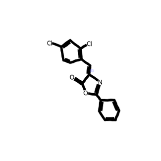 O=C1OC(c2ccccc2)=N/C1=C/c1ccc(Cl)cc1Cl